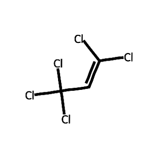 ClC(Cl)=CC(Cl)(Cl)Cl